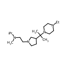 CCN1CCN(C(C)(C)C2CCN(CCN(C)C(C)C)C2)CC1